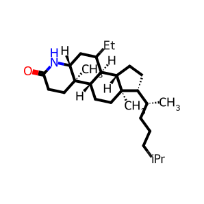 CCC1C[C@H]2NC(=O)CC[C@]2(C)[C@H]2CC[C@]3(C)[C@@H]([C@H](C)CCCC(C)C)CC[C@H]3[C@H]12